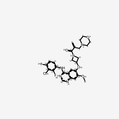 C=C(CN1CCOCC1)C(=O)N1CC(Oc2cc3c(Nc4ccc(F)c(Cl)c4F)ncnc3cc2OC)C1